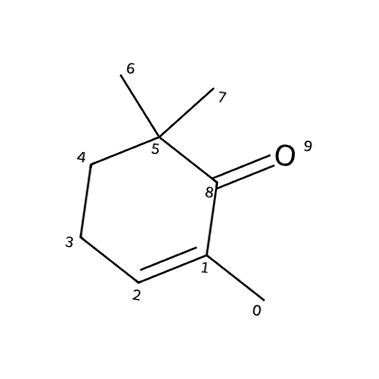 CC1=CCCC(C)(C)C1=O